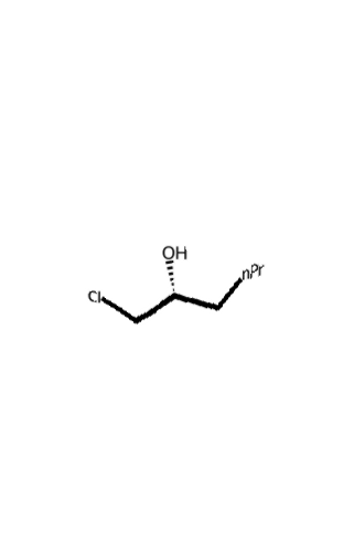 CCCC[C@@H](O)CCl